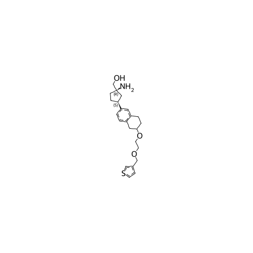 N[C@]1(CO)CC[C@H](c2ccc3c(c2)CCC(OCCOCc2ccsc2)C3)C1